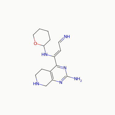 N=C/C=C(\NC1CCCCO1)c1nc(N)nc2c1CCNC2